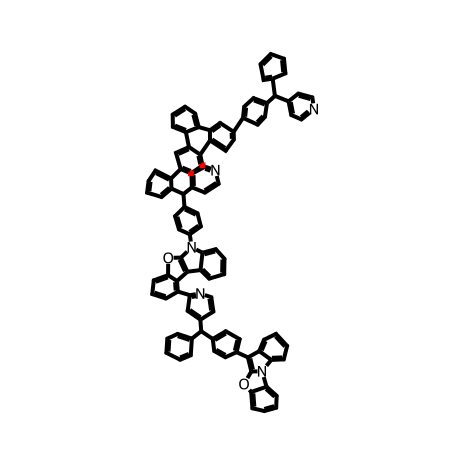 c1ccc(C(c2ccncc2)c2ccc(-c3ccc4c5ccc(-c6ccccc6C(c6ccncc6)c6ccc(-n7c8ccccc8c8c9c(-c%10cc(C(c%11ccccc%11)c%11ccc(-c%12c%13ccccc%13n%13c%12oc%12ccccc%12%13)cc%11)ccn%10)cccc9oc87)cc6)cc5c5ccccc5c4c3)cc2)cc1